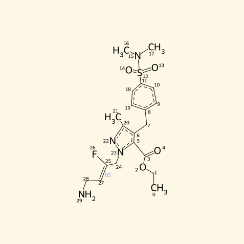 CCOC(=O)c1c(Cc2ccc(S(=O)(=O)N(C)C)cc2)c(C)nn1C/C(F)=C/CN